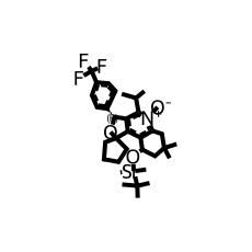 CC(C)c1c2c(c3c([n+]1[O-])CC(C)(C)CC3O[Si](C)(C)C(C)(C)C)C1(CCCC1)O[C@@H]2c1ccc(C(F)(F)F)cc1